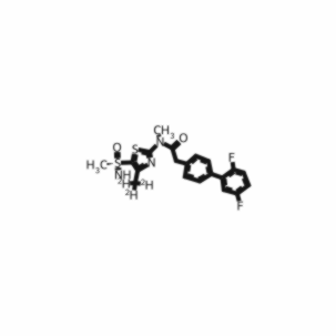 [2H]C([2H])([2H])c1nc(N(C)C(=O)Cc2ccc(-c3cc(F)ccc3F)cc2)sc1[S@@](C)(=N)=O